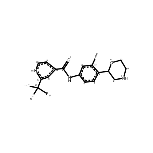 O=C(Nc1ccc(C2CNCCO2)c(F)c1)c1ccnc(C(F)(F)F)c1